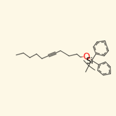 CCCCCC#CCCCCO[Si](c1ccccc1)(c1ccccc1)C(C)(C)C